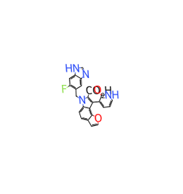 O=C(O)c1c(-c2ccc[nH]c2=O)c2c3occc3ccc2n1Cc1cc2nc[nH]c2cc1F